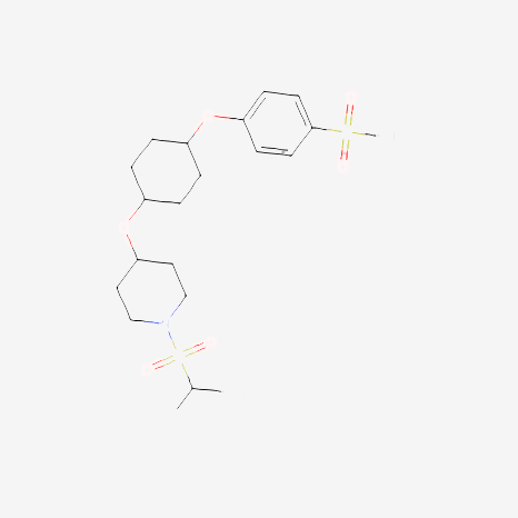 CC(C)S(=O)(=O)N1CCC(OC2CCC(Oc3ccc(S(C)(=O)=O)cc3)CC2)CC1